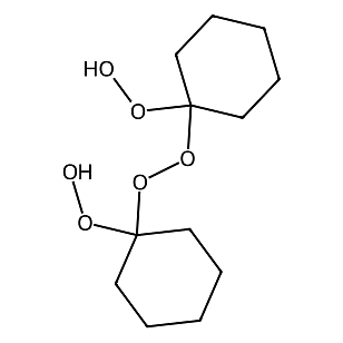 OOC1(OOC2(OO)CCCCC2)CCCCC1